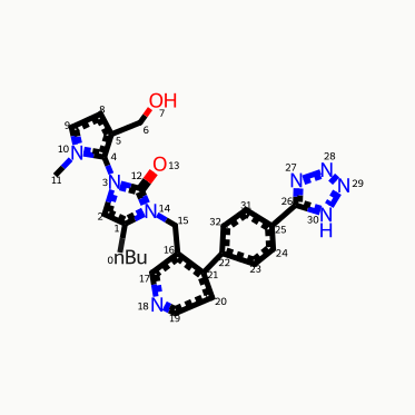 CCCCc1cn(-c2c(CO)ccn2C)c(=O)n1Cc1cnccc1-c1ccc(-c2nnn[nH]2)cc1